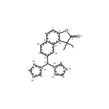 CC1(C)C(=O)Oc2ccc3ccc(C(n4cncn4)n4cncn4)cc3c21